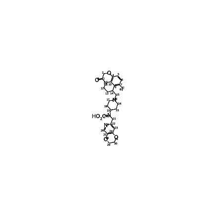 O=C1COc2ccc(F)c3c2N1CCC3CN1CCC(N(Cc2cc3c(cn2)OCCO3)C(=O)O)CC1